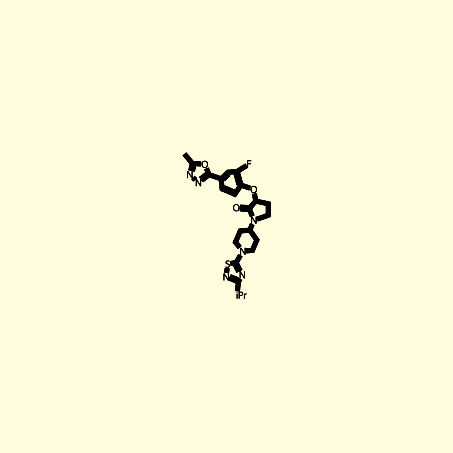 Cc1nnc(-c2ccc(OC3CCN(C4CCN(c5nc(C(C)C)ns5)CC4)C3=O)c(F)c2)o1